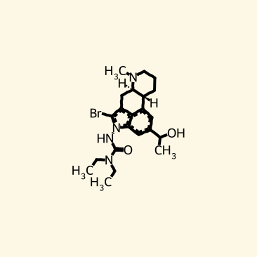 CCN(CC)C(=O)Nn1c(Br)c2c3c(cc(C(C)O)cc31)[C@H]1CCCN(C)[C@@H]1C2